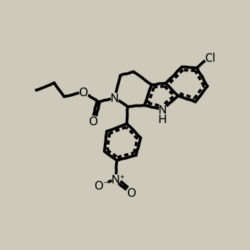 CCCOC(=O)N1CCc2c([nH]c3ccc(Cl)cc23)C1c1ccc([N+](=O)[O-])cc1